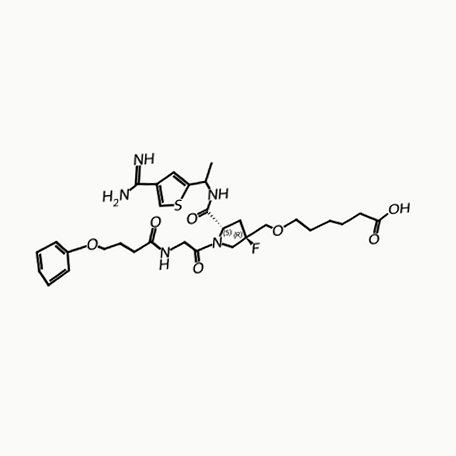 CC(NC(=O)[C@@H]1C[C@](F)(COCCCCCC(=O)O)CN1C(=O)CNC(=O)CCCOc1ccccc1)c1cc(C(=N)N)cs1